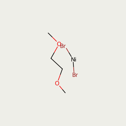 COCCOC.[Br][Ni][Br]